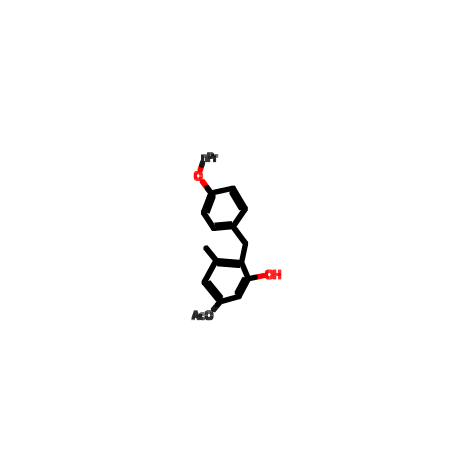 CCCOc1ccc(Cc2c(C)cc(OC(C)=O)cc2O)cc1